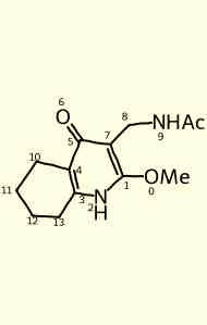 COc1[nH]c2c(c(=O)c1CNC(C)=O)CCCC2